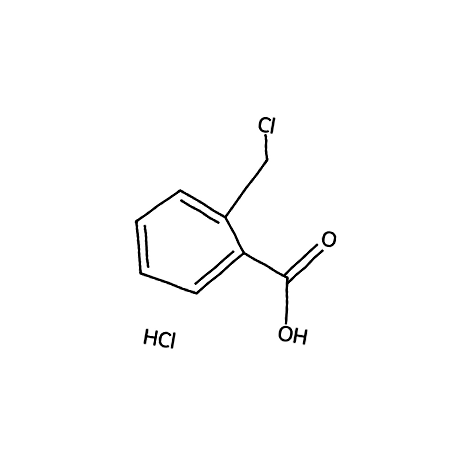 Cl.O=C(O)c1ccccc1CCl